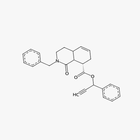 C#CC(OC(=O)[C@H]1CC=CC2CCN(Cc3ccccc3)C(=O)C21)c1ccccc1